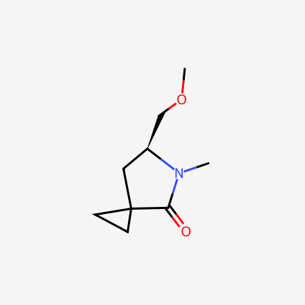 COC[C@@H]1CC2(CC2)C(=O)N1C